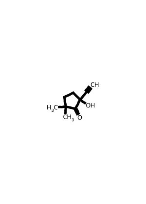 C#CC1(O)CCC(C)(C)C1=O